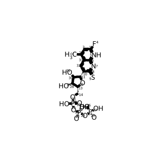 Cc1cc(F)[nH]c2nc(=S)c([C@@H]3O[C@H](COP(=O)(O)OP(=O)(O)OP(=O)(O)O)[C@H](O)C3O)cc1-2